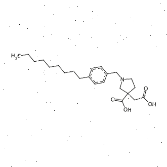 CCCCCCCCCc1ccc(CN2CCC(CC(=O)O)(C(=O)O)C2)cc1